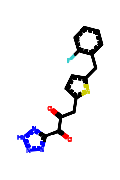 O=C(Cc1ccc(Cc2ccccc2F)s1)C(=O)c1nn[nH]n1